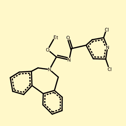 CCOC(=NC(=O)c1cc(Cl)nc(Cl)c1)N1Cc2ccccc2-c2ccccc2C1